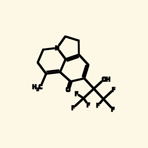 CC1=C2C(=O)C(C(O)(C(F)(F)F)C(F)(F)F)=CC3=C2N(CC1)CC3